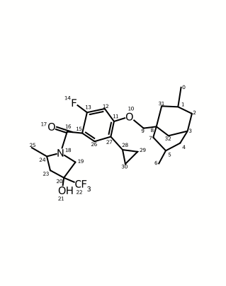 CC1CC2CC(C)CC(COc3cc(F)c(C(=O)N4CC(O)(C(F)(F)F)CC4C)cc3C3CC3)(C1)C2